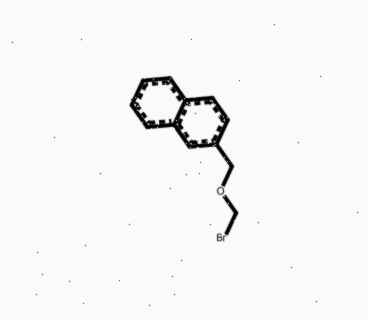 BrCOCc1ccc2ccccc2c1